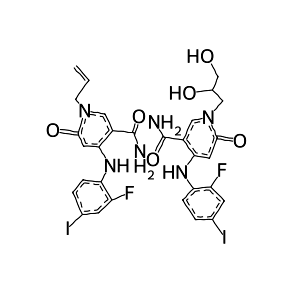 C=CCn1cc(C(N)=O)c(Nc2ccc(I)cc2F)cc1=O.NC(=O)c1cn(CC(O)CO)c(=O)cc1Nc1ccc(I)cc1F